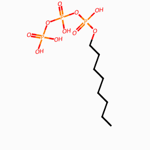 CCCCCCCCOP(=O)(O)OP(=O)(O)OP(=O)(O)O